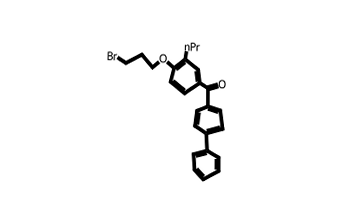 CCCc1cc(C(=O)c2ccc(-c3ccccc3)cc2)ccc1OCCCBr